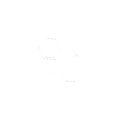 C[P+](C)(CF)c1ccccc1.O=[N+]([O-])[O-]